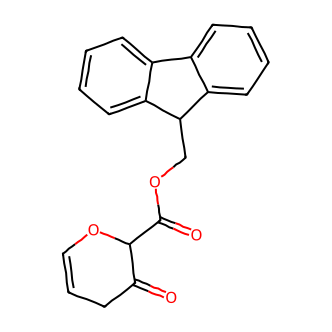 O=C1CC=COC1C(=O)OCC1c2ccccc2-c2ccccc21